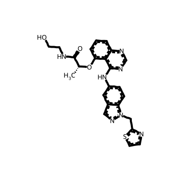 C[C@@H](Oc1cccc2ncnc(Nc3ccc4c(cnn4Cc4nccs4)c3)c12)C(=O)NCCO